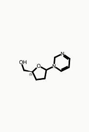 OC[C@@H]1CCC(N2C=CC=NC2)O1